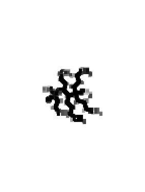 CCCCC(CCCC)C(P)(CCCC)CCCC.[CH2]CCS(=O)(=O)O